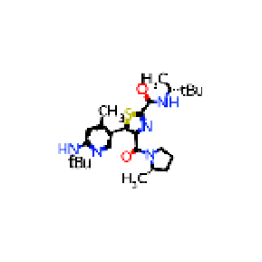 Cc1cc(NC(C)(C)C)ncc1-c1sc(C(=O)N[C@H](C)C(C)(C)C)nc1C(=O)N1CCC[C@@H]1C